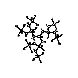 C[Si](C)(C)O[Si](C)([O][Ce]([O][Si](C)(O[Si](C)(C)C)O[Si](C)(C)C)[O][Si](C)(O[Si](C)(C)C)O[Si](C)(C)C)O[Si](C)(C)C